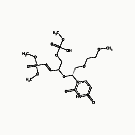 COCCOC[C@@H](OC(/C=C/P(=O)(OC)OC)COP(=O)(O)OC)n1ccc(=O)[nH]c1=O